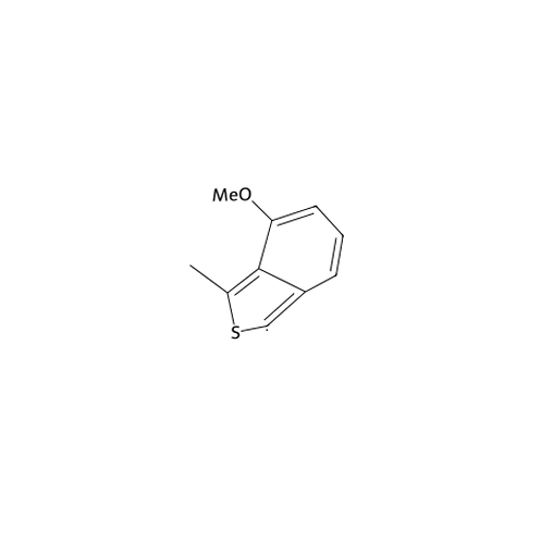 COc1cccc2[c]sc(C)c12